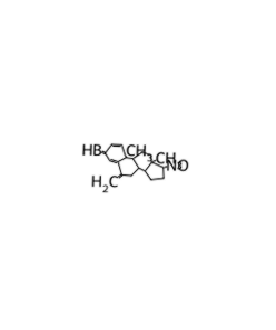 B=C1C=C[C@@]2(C)C(=C1)C(=C)CC1C2CC[C@@]2(C)C1CC[C@@H]2N=O